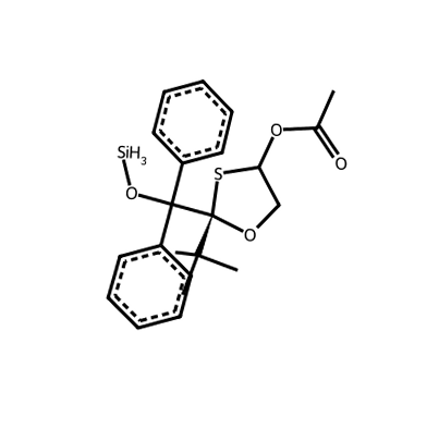 CC(=O)OC1CO[C@](C(C)(C)C)(C(O[SiH3])(c2ccccc2)c2ccccc2)S1